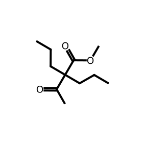 CCCC(CCC)(C(C)=O)C(=O)OC